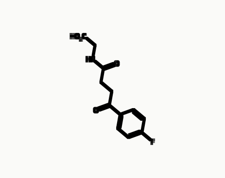 O=C(O)CNC(=O)CCC(=O)c1ccc(F)cc1